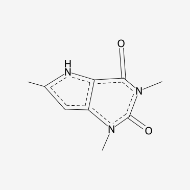 Cc1cc2c([nH]1)c(=O)n(C)c(=O)n2C